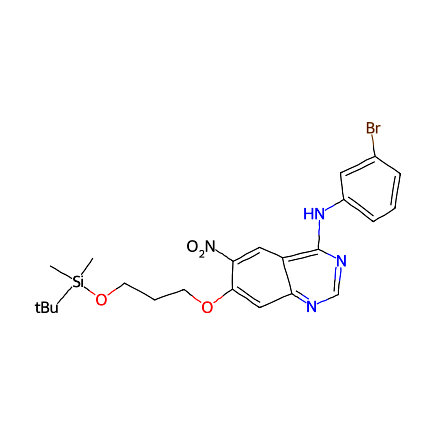 CC(C)(C)[Si](C)(C)OCCCOc1cc2ncnc(Nc3cccc(Br)c3)c2cc1[N+](=O)[O-]